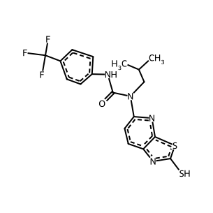 CC(C)CN(C(=O)Nc1ccc(C(F)(F)F)cc1)c1ccc2nc(S)sc2n1